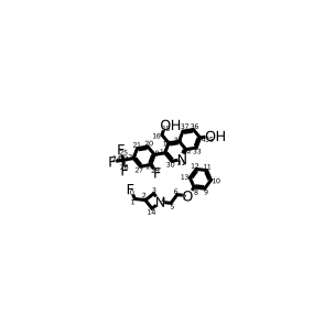 FCC1CN(CCOc2ccccc2)C1.OCc1c(-c2ccc(C(F)(F)F)cc2F)cnc2cc(O)ccc12